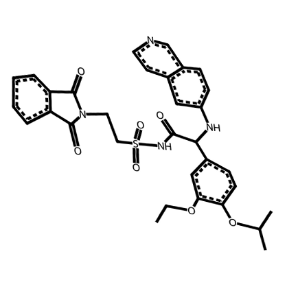 CCOc1cc(C(Nc2ccc3cnccc3c2)C(=O)NS(=O)(=O)CCN2C(=O)c3ccccc3C2=O)ccc1OC(C)C